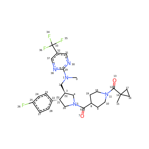 CN(C[C@H]1CN(C(=O)C2CCN(C(=O)C3(C)CC3)CC2)C[C@@H]1c1ccc(F)cc1)c1ncc(C(F)(F)F)cn1